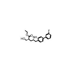 CCOC(=O)[C@H](CO)C[C@H](N)Cc1ccc(-c2cccc(F)c2)cc1